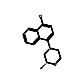 C[C@@H]1CN(c2ccc(Cl)c3ccccc23)CC[N]1